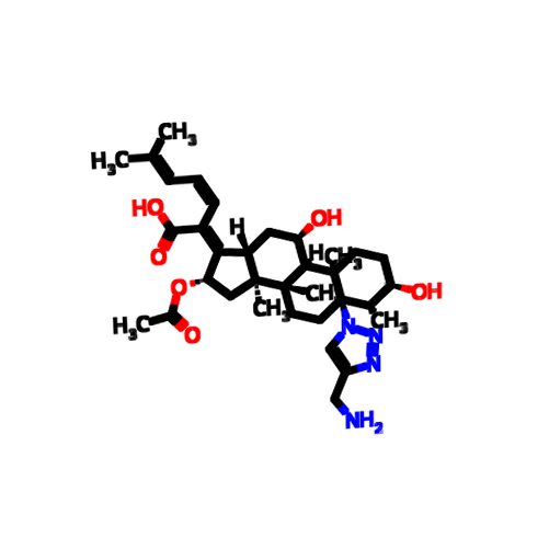 CC(=O)O[C@H]1C[C@@]2(C)[C@@H](C[C@@H](O)[C@@H]3[C@]2(C)CC[C@@]2(n4cc(CN)nn4)[C@H](C)[C@H](O)CC[C@]32C)/C1=C(\C=C/C=C(C)C)C(=O)O